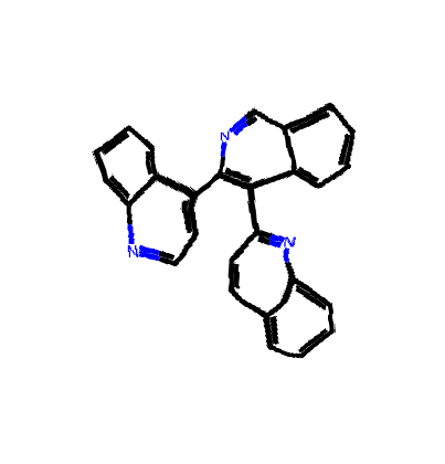 [c]1nc(-c2ccnc3ccccc23)c(-c2ccc3ccccc3n2)c2ccccc12